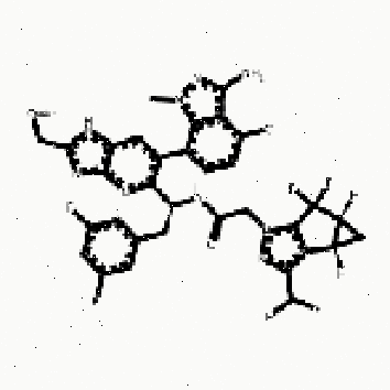 COCc1nc2nc([C@H](Cc3cc(F)cc(F)c3)NC(=O)Cn3nc(C(F)F)c4c3C(F)(F)[C@@H]3C[C@H]43)c(-c3ccc(Cl)c4c(N)nn(C)c34)cc2[nH]1